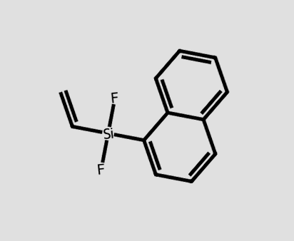 C=C[Si](F)(F)c1cccc2ccccc12